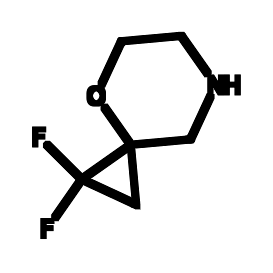 FC1(F)CC12CNCCO2